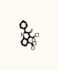 O=C(Cl)c1cccc2nc(-c3ccccc3)c(F)c(C(=O)Cl)c12